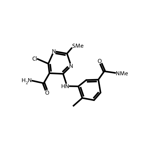 CNC(=O)c1ccc(C)c(Nc2nc(SC)nc(Cl)c2C(N)=O)c1